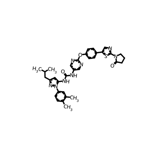 Cc1ccc(-n2nc(CC(C)C)cc2NC(=O)Nc2cnc(Oc3ccc(-c4cnc(N5CCCC5=O)s4)cc3)nc2)cc1C